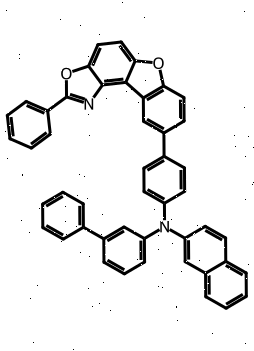 c1ccc(-c2cccc(N(c3ccc(-c4ccc5oc6ccc7oc(-c8ccccc8)nc7c6c5c4)cc3)c3ccc4ccccc4c3)c2)cc1